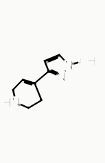 Cn1ccc(C2=CCNCC2)n1